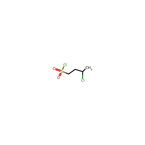 CC(Cl)CCS(=O)(=O)Cl